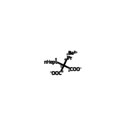 CCCCCCCC(C(=O)[O-])(C(=O)[O-])C(C)C.[Ba+2]